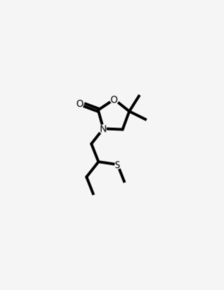 CCC(CN1CC(C)(C)OC1=O)SC